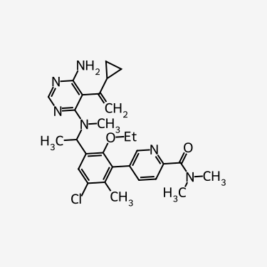 C=C(c1c(N)ncnc1N(C)C(C)c1cc(Cl)c(C)c(-c2ccc(C(=O)N(C)C)nc2)c1OCC)C1CC1